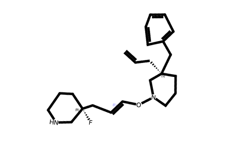 C=CC[C@]1(Cc2ccccc2)CCCN(O/C=C/C[C@]2(F)CCCNC2)C1